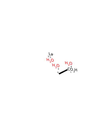 CC(=O)O.O.O.O.[La]